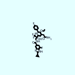 CCOc1c(CC(N)=O)cc([C@@](O)(CNC(=O)c2cc(F)c3[nH]c(C4CC4)nc3c2)C(F)(F)F)nc1-c1ccc(F)cc1